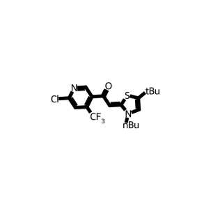 CCCCN1C=C(C(C)(C)C)SC1=CC(=O)c1cnc(Cl)cc1C(F)(F)F